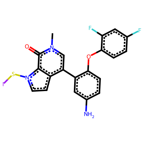 Cn1cc(-c2cc(N)ccc2Oc2ccc(F)cc2F)c2ccn(SI)c2c1=O